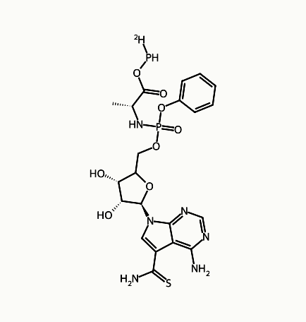 [2H]POC(=O)[C@@H](C)NP(=O)(OCC1O[C@@H](n2cc(C(N)=S)c3c(N)ncnc32)[C@H](O)[C@@H]1O)Oc1ccccc1